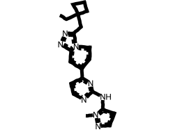 CCC1(Cc2nnc3cc(-c4ccnc(Nc5ccnn5C)n4)ccn23)CCC1